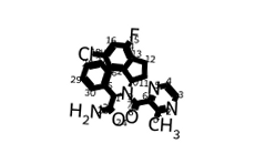 Cc1nccnc1C(=O)N([C@@H]1CCc2c(F)cc(Cl)cc21)[C@@H](C(N)=O)c1ccccc1